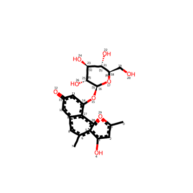 Cc1cc(O)c2c(C)cc3cc(=O)cc(O[C@@H]4O[C@H](CO)[C@@H](O)[C@H](O)[C@H]4O)c3c2o1